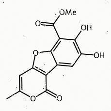 COC(=O)c1c(O)c(O)cc2c1oc1cc(C)oc(=O)c12